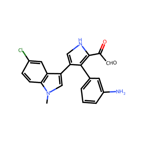 Cn1cc(-c2c[nH]c(C(=O)C=O)c2-c2cccc(N)c2)c2cc(Cl)ccc21